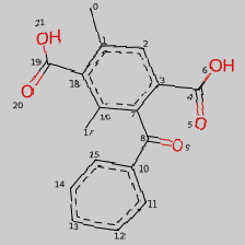 Cc1cc(C(=O)O)c(C(=O)c2ccccc2)c(C)c1C(=O)O